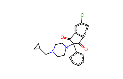 O=C1c2ccc(Cl)cc2C(=O)C1(c1ccccc1)N1CCN(CC2CC2)CC1